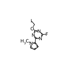 Cn1cccc1-c1nc(F)nc(OCI)n1